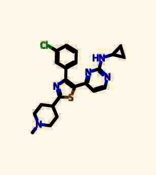 CN1CCC(c2nc(-c3cccc(Cl)c3)c(-c3ccnc(NC4CC4)n3)s2)CC1